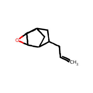 C=CCC1CC2CC1C1OC21